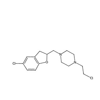 ClCCN1CCN(CC2Cc3cc(Cl)ccc3O2)CC1